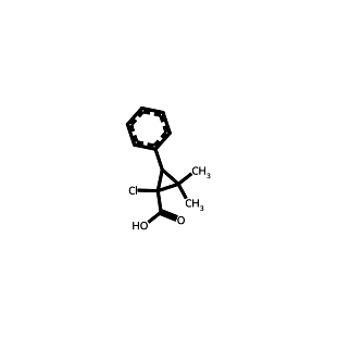 CC1(C)C(c2ccccc2)C1(Cl)C(=O)O